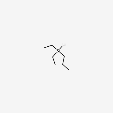 [Li][Si](CC)(CC)CCC